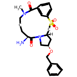 CN1CCC[C@H](N)C(=O)N2C[C@@H](OCc3ccccc3)C[C@H]2CS(=O)(=O)c2cccc(c2)C1=O